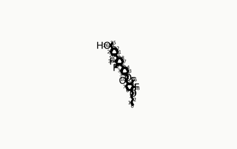 C=CCCOc1ccc(C(=O)Oc2ccc(-c3ccc(-c4ccc(C(C)O)cc4)c(F)c3F)cc2)c(F)c1F